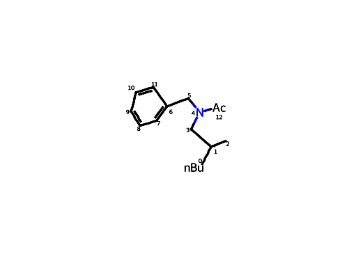 CCCC[C](C)CN(Cc1ccccc1)C(C)=O